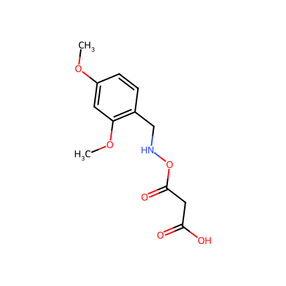 COc1ccc(CNOC(=O)CC(=O)O)c(OC)c1